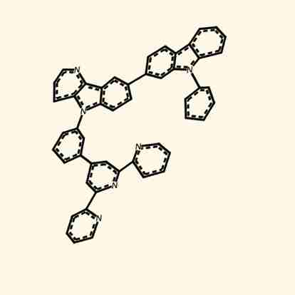 c1ccc(-n2c3ccccc3c3ccc(-c4ccc5c(c4)c4ncccc4n5-c4cccc(-c5cc(-c6ccccn6)nc(-c6ccccn6)c5)c4)cc32)cc1